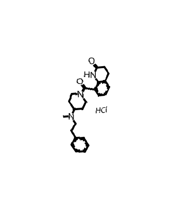 CN(CCc1ccccc1)C1CCN(C(=O)c2cccc3c2NC(=O)CC3)CC1.Cl